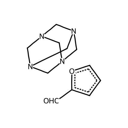 C1N2CN3CN1CN(C2)C3.O=Cc1ccco1